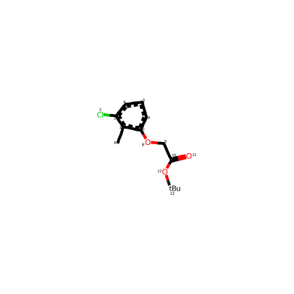 Cc1c(Cl)cccc1OCC(=O)OC(C)(C)C